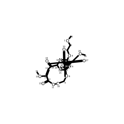 COCCOC1N=C2OCCOC(=O)/C(OC)=C\C(=O)C3N2OCCOC(=O)/C(OC)=C\C(=O)N13